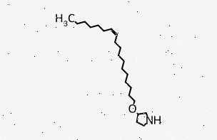 CCCCCC/C=C\CCCCCCCCCCO[C@H]1CCNC1